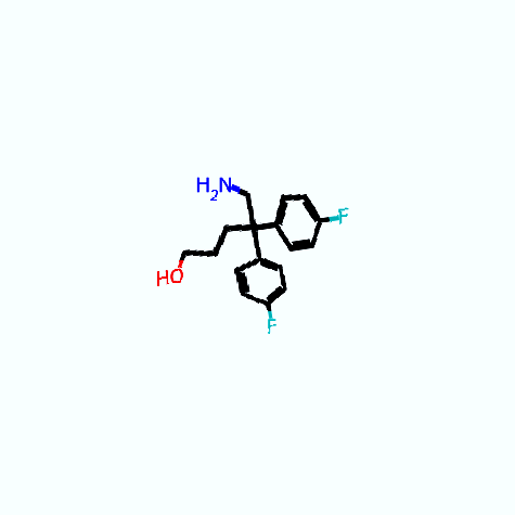 NCC(CCCO)(c1ccc(F)cc1)c1ccc(F)cc1